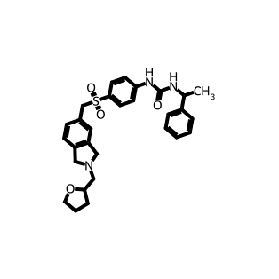 CC(NC(=O)Nc1ccc(S(=O)(=O)Cc2ccc3c(c2)CN(CC2CCCO2)C3)cc1)c1ccccc1